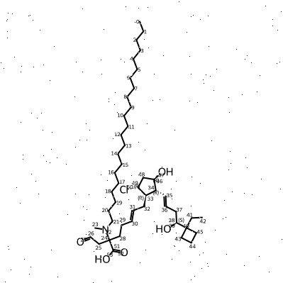 CCCCCCCCCCCCCCCCCCCCCCN(C)C(CC=O)(CCC=CC[C@@H]1[C@@H](C=CC[C@H](O)C2(CC)CCC2)[C@H](O)C[C@H]1Cl)C(=O)O